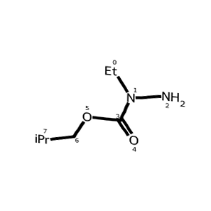 CCN(N)C(=O)OCC(C)C